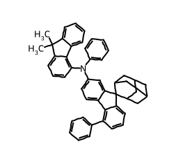 CC1(C)c2ccccc2-c2c(N(c3ccccc3)c3ccc4c(c3)C3(c5cccc(-c6ccccc6)c5-4)C4CC5CC(C4)CC3C5)cccc21